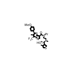 COc1ccc(-c2nc3c(C(=O)N(CCN(C)[C@@H](CO)c4cscc4C)C(C)C)cnn3c(C(F)(F)F)c2C)cc1